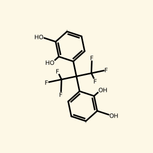 Oc1[c]ccc(C(c2cc[c]c(O)c2O)(C(F)(F)F)C(F)(F)F)c1O